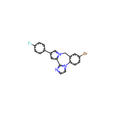 Fc1ccc(-c2cc3n(c2)Cc2cc(Br)ccc2-n2ccnc2-3)cc1